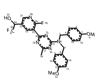 COc1ccc(CN(Cc2ccc(OC)cc2)c2nc(C)nc(-c3cc(C(O)C(F)(F)F)cnc3F)n2)cc1